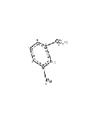 CCC(C)c1cccc(C(=O)O)n1